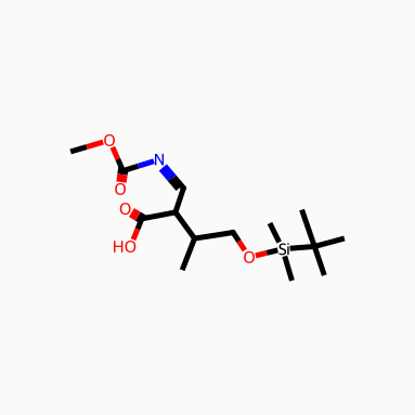 COC(=O)/N=C\C(C(=O)O)C(C)CO[Si](C)(C)C(C)(C)C